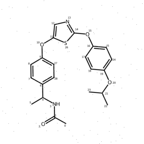 CC(=O)NC(C)c1ccc(Oc2cnc(Oc3ccc(OC(C)C)cc3)s2)cc1